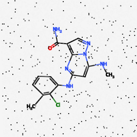 CNc1cc(Nc2cccc(C)c2Cl)nc2c(C(N)=O)cnn12